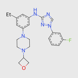 CCc1cc(Nc2ncn(-c3cccc(F)c3)n2)cc(N2CCN(C3COC3)CC2)c1